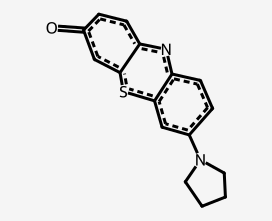 O=c1ccc2nc3ccc(N4CCCC4)cc3sc-2c1